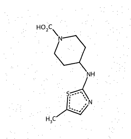 Cc1cnc(NC2CCN(C(=O)O)CC2)s1